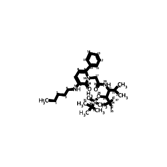 CCCCCNc1ccc(-c2ccccc2)n(CC(=O)NC(C(C)C)C(O[Si](C)(C)C(C)(C)C)C(F)(F)F)c1=O